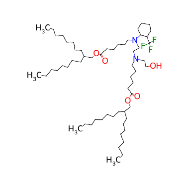 CCCCCCCCC(CCCCCCCC)COC(=O)CCCCCN(CCO)CCN(CCCCCC(=O)OCC(CCCCCCCC)CCCCCCCC)C1CCCCC1C(F)(F)F